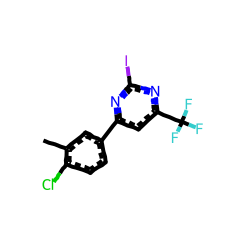 Cc1cc(-c2cc(C(F)(F)F)nc(I)n2)ccc1Cl